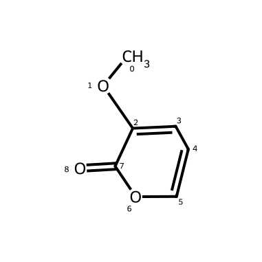 COc1cccoc1=O